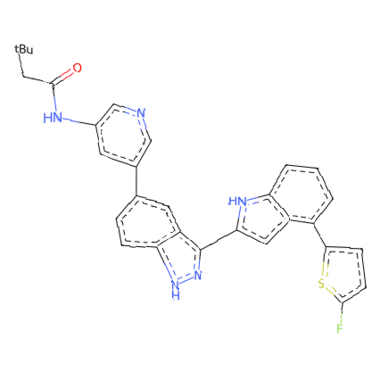 CC(C)(C)CC(=O)Nc1cncc(-c2ccc3[nH]nc(-c4cc5c(-c6ccc(F)s6)cccc5[nH]4)c3c2)c1